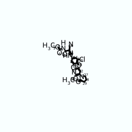 CCOC(=O)NC(=O)C(C#N)=NNc1cc(Cl)c(Oc2cnc(OC)c(N3CCCC3=O)c2)c(Cl)c1